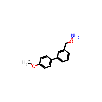 COc1ccc(-c2cccc(CON)c2)cc1